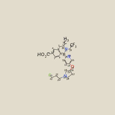 C[C@@H]1Cc2cc(C(=O)O)ccc2[C@@H](c2ccc(O[C@H]3CCN(CCCF)C3)cn2)N1CC(F)(F)F